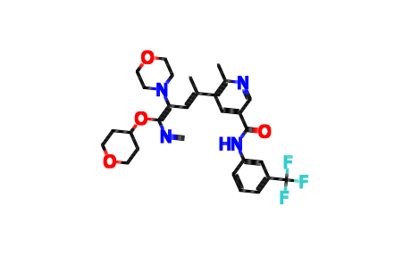 C=N/C(OC1CCOCC1)=C(\C=C(/C)c1cc(C(=O)Nc2cccc(C(F)(F)F)c2)cnc1C)N1CCOCC1